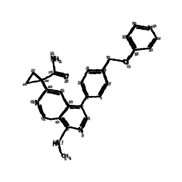 CNc1ncc(-c2ccc(COc3ccncc3)cc2)c2cc(C3(C(N)=O)CC3)ncc12